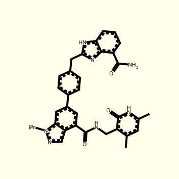 Cc1cc(C)c(CNC(=O)c2cc(-c3ccc(Cc4nc5c(C(N)=O)cccc5[nH]4)cc3)cc3c2cnn3C(C)C)c(=O)[nH]1